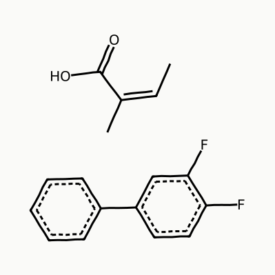 CC=C(C)C(=O)O.Fc1ccc(-c2ccccc2)cc1F